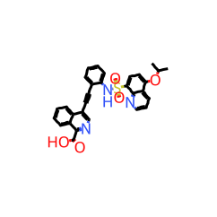 CC(C)Oc1ccc(S(=O)(=O)Nc2ccccc2C#Cc2cnc(C(=O)O)c3ccccc23)c2ncccc12